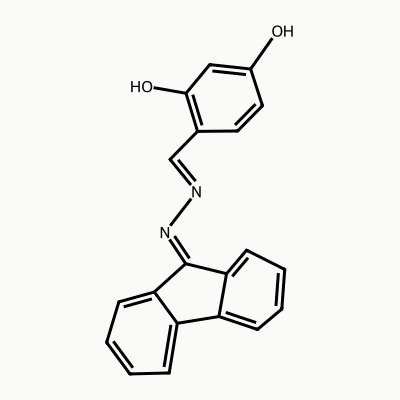 Oc1ccc(C=NN=C2c3ccccc3-c3ccccc32)c(O)c1